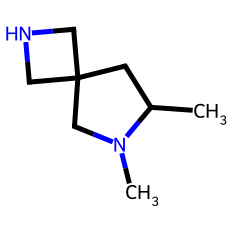 CC1CC2(CNC2)CN1C